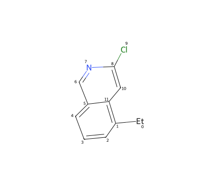 CCc1cccc2cnc(Cl)cc12